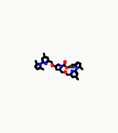 Cc1cc(COCC2CC(OCc3cc(C)cc(-n4c(C)ccc4C)n3)CN2C(=O)OC(C)(C)C)nc(-n2c(C)ccc2C)c1